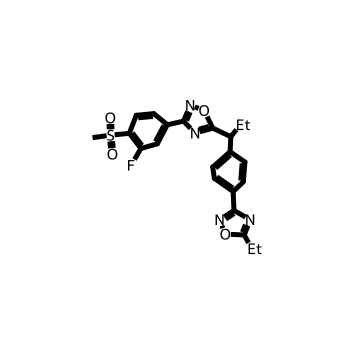 CCc1nc(-c2ccc(C(CC)c3nc(-c4ccc(S(C)(=O)=O)c(F)c4)no3)cc2)no1